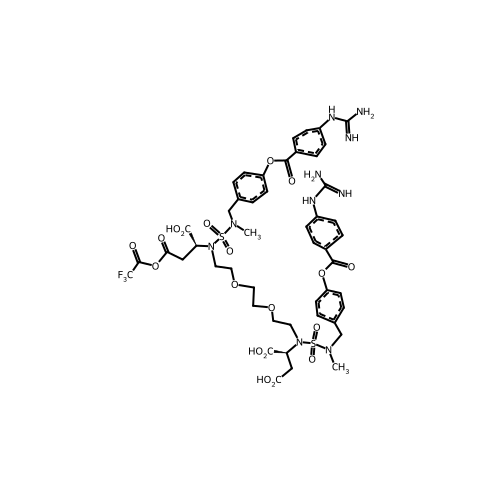 CN(Cc1ccc(OC(=O)c2ccc(NC(=N)N)cc2)cc1)S(=O)(=O)N(CCOCCOCCN([C@@H](CC(=O)OC(=O)C(F)(F)F)C(=O)O)S(=O)(=O)N(C)Cc1ccc(OC(=O)c2ccc(NC(=N)N)cc2)cc1)[C@@H](CC(=O)O)C(=O)O